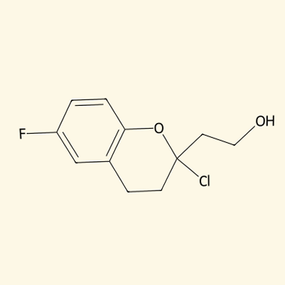 OCCC1(Cl)CCc2cc(F)ccc2O1